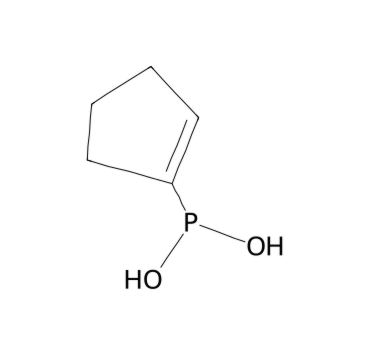 OP(O)C1=CCCC1